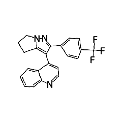 FC(F)(F)c1ccc(-c2nn3c(c2-c2ccnc4ccccc24)CCC3)cc1